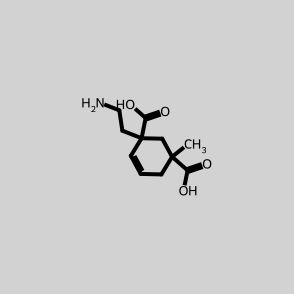 CC1(C(=O)O)CC=CC(CCN)(C(=O)O)C1